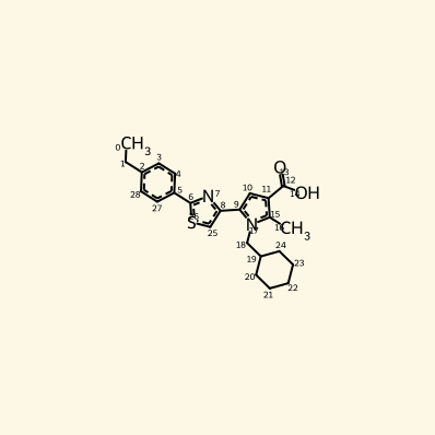 CCc1ccc(-c2nc(-c3cc(C(=O)O)c(C)n3CC3CCCCC3)cs2)cc1